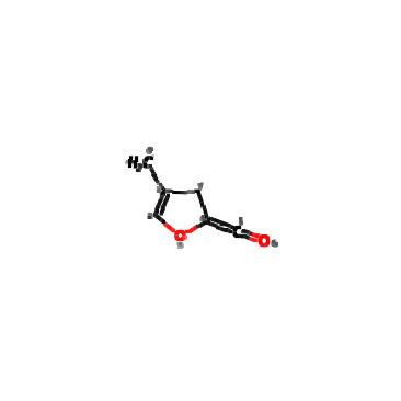 [CH2]C1=COC(=C=O)C1